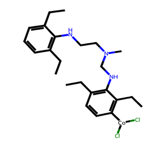 CCc1cccc(CC)c1NCCN(C)CNc1c(CC)cc[c]([Co]([Cl])[Cl])c1CC